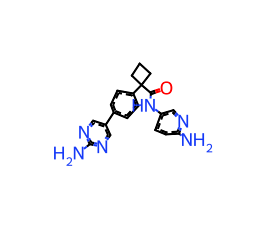 Nc1ccc(NC(=O)C2(c3ccc(-c4cnc(N)nc4)cc3)CCC2)cn1